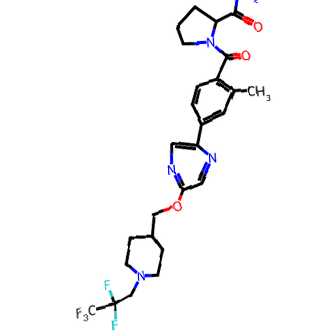 Cc1cc(-c2cnc(OCC3CCN(CC(F)(F)C(F)(F)F)CC3)cn2)ccc1C(=O)N1CCCC1C(N)=O